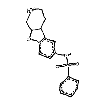 O=S(=O)(Nc1ccc2c(c1)C1CCNCC1O2)c1ccccc1